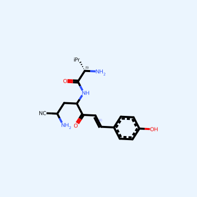 CC(C)[C@H](N)C(=O)NC(CC(N)C#N)C(=O)/C=C/c1ccc(O)cc1